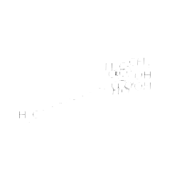 CCCCCCCCCCCCCCCCOC1=C(OO)[C@@](CC(C)C)([C@@H](O)CO)OC1=O